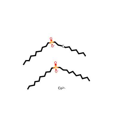 CCCCCCCCCCP(=O)([O-])CCCCCCCCCC.CCCCCCCCCCP(=O)([O-])CCCCCCCCCC.[Co+2]